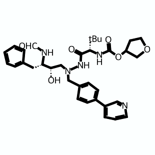 CC(C)(C)[C@H](NC(=O)OC1CCOC1)C(=O)NN(Cc1ccc(-c2cccnc2)cc1)C[C@H](O)[C@H](Cc1ccccc1)NC=O